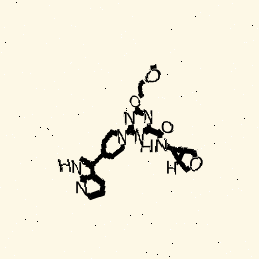 COCCOc1nc(C(=O)NC2C3COC[C@@H]32)nc(N2CCC(c3c[nH]c4ncccc34)CC2)n1